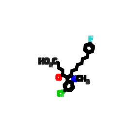 Cn1c(CCCCCCc2ccc(F)cc2)c(C(=O)CCCC(=O)O)c2cc(Cl)ccc21